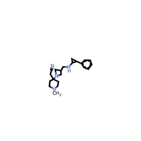 CN1CCC(CC#N)(N2CC(CNC3CC3c3ccccc3)C2)CC1